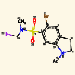 CC(=O)N1CCc2cc(Br)c(S(=O)(=O)N(C)CI)cc21